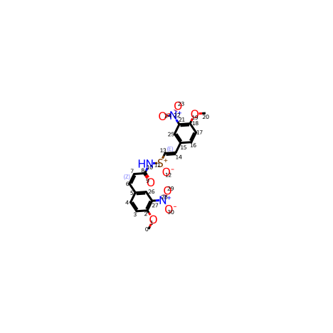 COc1ccc(/C=C\C(=O)N[S+]([O-])/C=C/c2ccc(OC)c([N+](=O)[O-])c2)cc1[N+](=O)[O-]